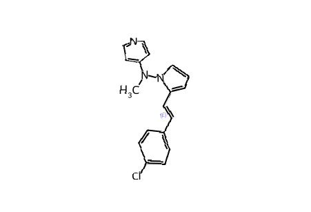 CN(c1ccncc1)n1cccc1/C=C/c1ccc(Cl)cc1